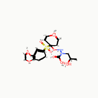 CC(O)CN(NOC1(S(=O)(=O)c2ccc3c(c2)OC=CO3)CCOCC1)C(=O)O